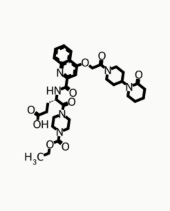 CCOC(=O)N1CCN(C(=O)[C@H](CCC(=O)O)NC(=O)c2cc(OCC(=O)N3CCC(N4CCCCC4=O)CC3)c3ccccc3n2)CC1